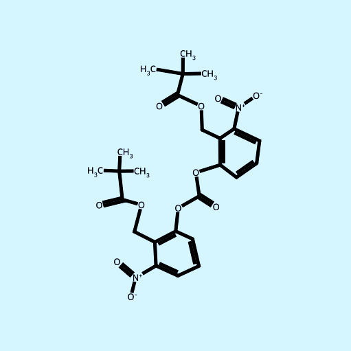 CC(C)(C)C(=O)OCc1c(OC(=O)Oc2cccc([N+](=O)[O-])c2COC(=O)C(C)(C)C)cccc1[N+](=O)[O-]